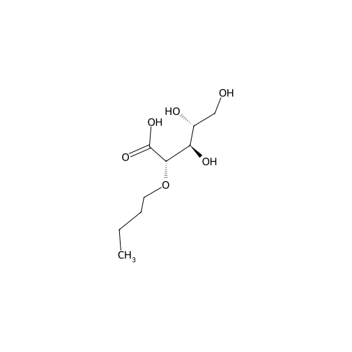 CCCCO[C@H](C(=O)O)[C@H](O)[C@H](O)CO